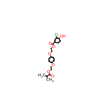 C=C(C)C(=O)OCCOc1ccc(OCCOC(=O)c2ccc(O)c(Cl)c2)cc1